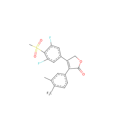 Cc1cc(C2=C(c3cc(F)c(S(C)(=O)=O)c(F)c3)COC2=O)ccc1C(F)(F)F